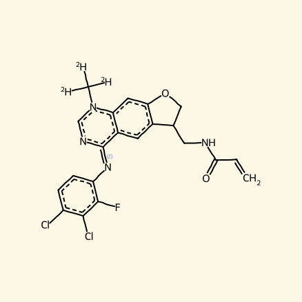 [2H]C([2H])([2H])n1cn/c(=N\c2ccc(Cl)c(Cl)c2F)c2cc3c(cc21)OCC3CNC(=O)C=C